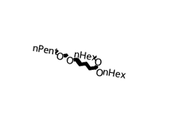 CCCCCCOC(CCC=COCOCCCCC)OCCCCCC